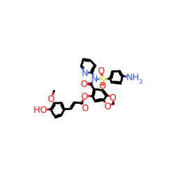 COc1cc(/C=C/C(=O)Oc2cc3c(cc2C(=O)N(c2ccccn2)S(=O)(=O)c2ccc(N)cc2)OCO3)ccc1O